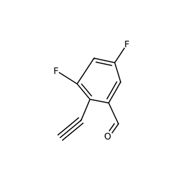 C#Cc1c(F)cc(F)cc1C=O